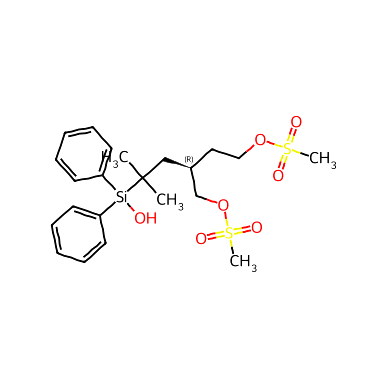 CC(C)(C[C@@H](CCOS(C)(=O)=O)COS(C)(=O)=O)[Si](O)(c1ccccc1)c1ccccc1